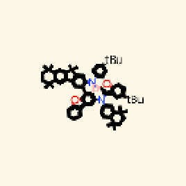 CC(C)(C)c1ccc(N2B3c4oc5ccc(C(C)(C)C)cc5c4N(c4ccc5c(c4)C(C)(C)CCC5(C)C)c4cc5c(oc6ccccc65)c(c43)-c3cc4c(cc32)C(C)(C)c2cc3c(cc2-4)C(C)(C)CCC3(C)C)cc1